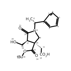 C[C@H](c1ccccc1)N1C[C@@](CC(=O)O)(C(=O)OC(C)(C)C)[C@@H](CO)C1=O